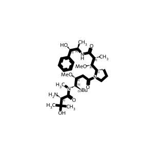 CC[C@H](C)[C@@H]([C@@H](CC(=O)N1CCC[C@H]1[C@H](OC)[C@@H](C)C(=O)N[C@H](C)[C@@H](O)c1ccccc1)OC)N(C)C(=O)[C@@H](N)C(C)(C)O